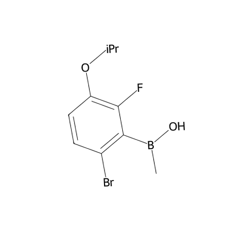 CB(O)c1c(Br)ccc(OC(C)C)c1F